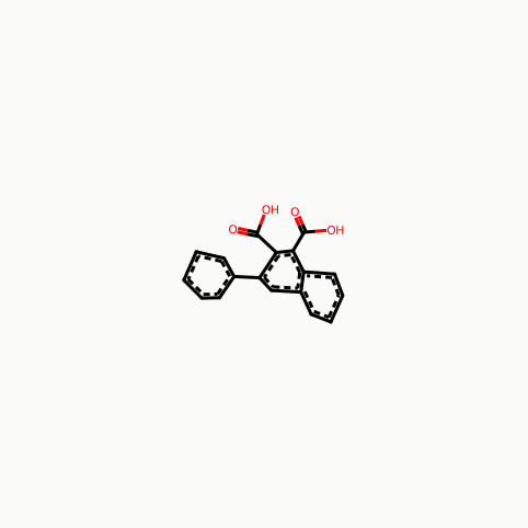 O=C(O)c1c(-c2ccccc2)cc2ccccc2c1C(=O)O